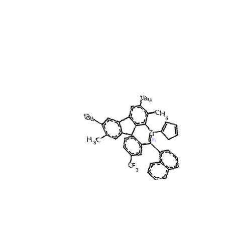 Cc1cc2c(cc1C(C)(C)C)-c1cc(C(C)(C)C)c(C)[c](/[Zr]([C]3=CC=CC3)=[C](\c3cccc(C(F)(F)F)c3)c3cccc4ccccc34)c1C2